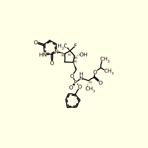 CC(C)OC(=O)[C@H](C)NP(=O)(OC[C@H]1C[C@@H](n2ccc(=O)[nH]c2=O)[C@](C)(F)[C@@H]1O)Oc1ccccc1